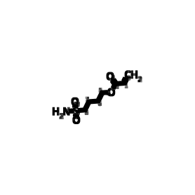 C=CC(=O)OCCCCS(N)(=O)=O